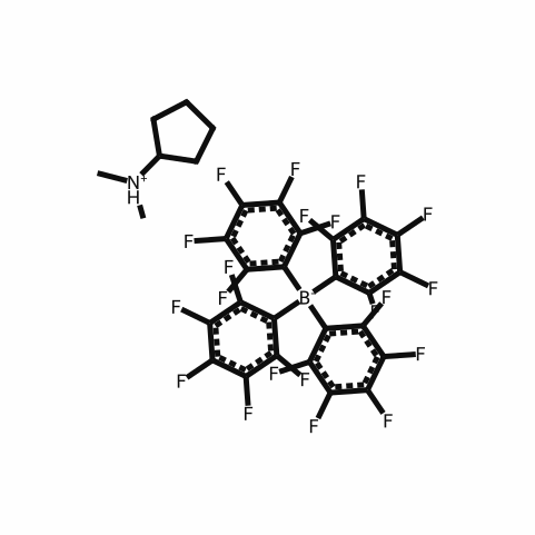 C[NH+](C)C1CCCC1.Fc1c(F)c(F)c([B-](c2c(F)c(F)c(F)c(F)c2F)(c2c(F)c(F)c(F)c(F)c2F)c2c(F)c(F)c(F)c(F)c2F)c(F)c1F